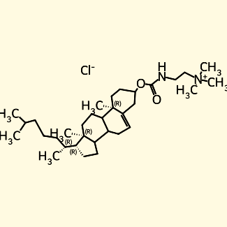 CC(C)CCC[C@@H](C)[C@H]1CCC2C3CC=C4CC(OC(=O)NCC[N+](C)(C)C)CC[C@]4(C)C3CC[C@@]21C.[Cl-]